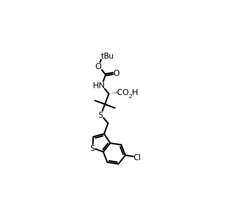 CC(C)(C)OC(=O)N[C@H](C(=O)O)C(C)(C)SCc1csc2ccc(Cl)cc12